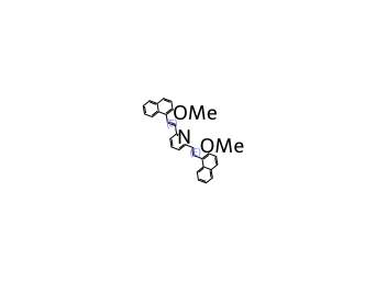 COc1ccc2ccccc2c1/C=C/c1cccc(/C=C/c2c(OC)ccc3ccccc23)n1